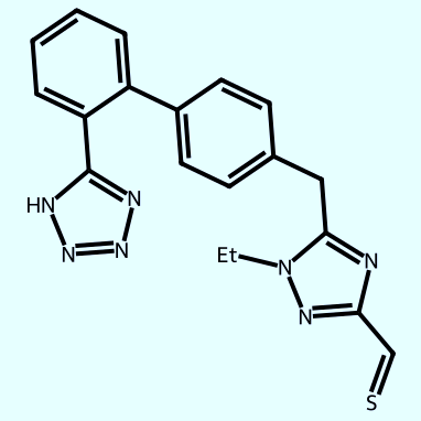 CCn1nc(C=S)nc1Cc1ccc(-c2ccccc2-c2nnn[nH]2)cc1